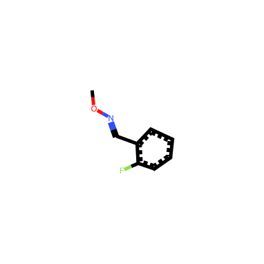 CO/N=C/c1ccc[c]c1F